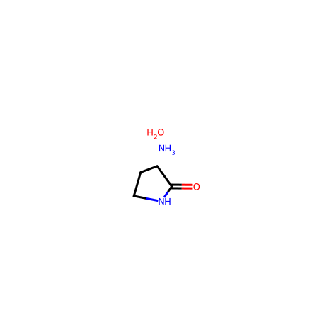 N.O.O=C1CCCN1